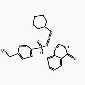 CCc1ccc(S(=O)(=O)N=C=NC2CCCCC2)cc1.O=c1[nH]cnc2ccccc12